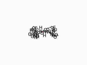 CC(C(=O)NC(C(=O)N1Cc2ccc(NC(=O)CNC(=O)[C@]3(C)CN(C(=O)CN4C[C@@H](C)N(C(=O)OC(C)(C)C)C[C@@H]4CN4CCOC[C@H]4C)c4cc(Cc5ccc(F)cc5)ccc43)cc2[C@H]1C(=O)Nc1c(F)cccc1F)C1CCOCC1)N(C)C(=O)OC(C)(C)C